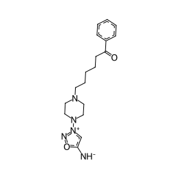 [NH-]c1c[n+](N2CCN(CCCCCC(=O)c3ccccc3)CC2)no1